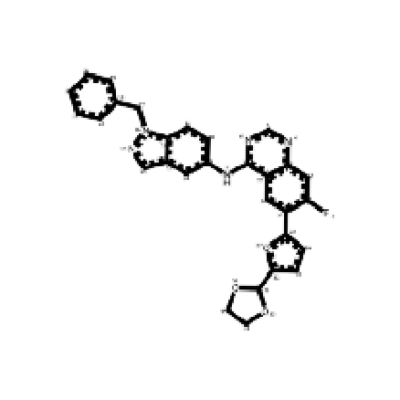 Fc1cc2ncnc(Nc3ccc4c(cnn4Cc4ccccc4)c3)c2cc1-c1ccc(C2OCCO2)o1